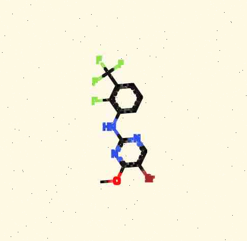 COc1nc(Nc2cccc(C(F)(F)F)c2F)ncc1Br